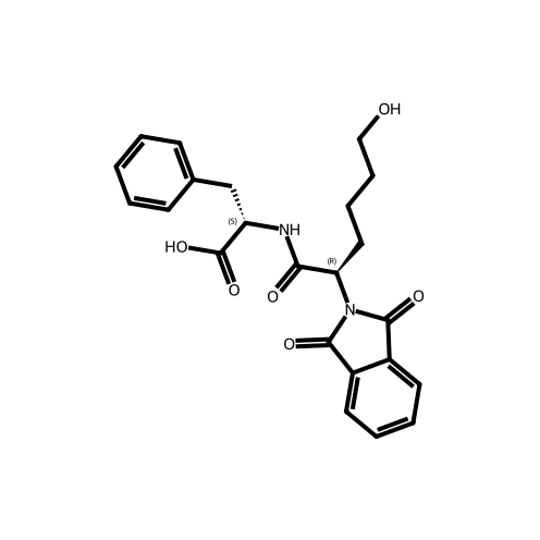 O=C(O)[C@H](Cc1ccccc1)NC(=O)[C@@H](CCCCO)N1C(=O)c2ccccc2C1=O